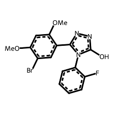 COc1cc(OC)c(-c2nnc(O)n2-c2ccccc2F)cc1Br